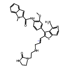 COc1cc(-c2c(/C=C/CNCCN3CCNC3=O)sc3ccnc(N)c23)ccc1NC(=O)c1cc2ccccc2n1C